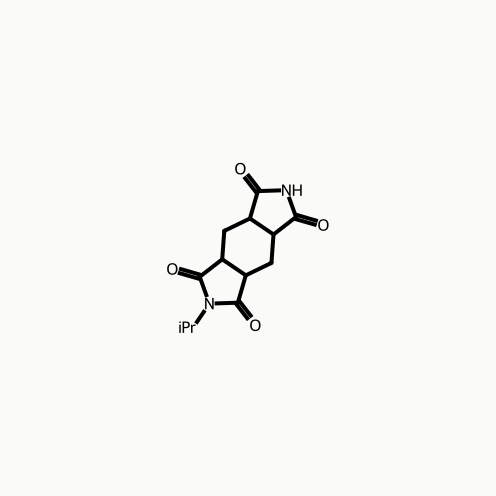 CC(C)N1C(=O)C2CC3C(=O)NC(=O)C3CC2C1=O